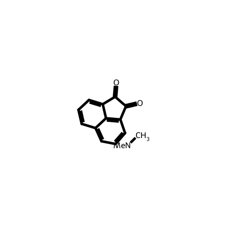 CNC.O=C1C(=O)c2cccc3cccc1c23